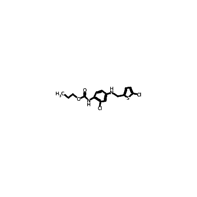 CCCOC(=O)Nc1ccc(NCc2ccc(Cl)s2)cc1Cl